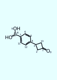 O=C1CC(c2ccc(B(O)O)cc2)C1